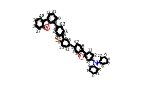 c1ccc(N(c2ccccc2)c2ccc3c(c2)oc2cc(-c4ccc5sc6cc(-c7cccc8c7oc7ccccc78)ccc6c5c4)ccc23)cc1